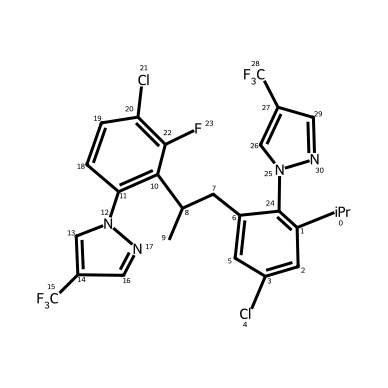 CC(C)c1cc(Cl)cc(CC(C)c2c(-n3cc(C(F)(F)F)cn3)ccc(Cl)c2F)c1-n1cc(C(F)(F)F)cn1